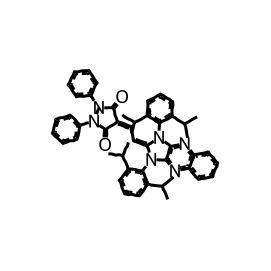 CC(C)c1cccc(C(C)C)c1N1C(=CC=C2C(=O)N(c3ccccc3)N(c3ccccc3)C2=O)N(c2c(C(C)C)cccc2C(C)C)c2nc3ccccc3nc21